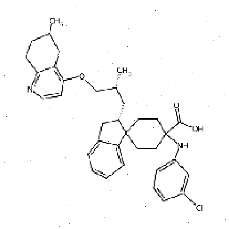 CC1CCc2nccc(OC[C@H](C)C[C@H]3Cc4ccccc4C34CCC(Nc3cccc(Cl)c3)(C(=O)O)CC4)c2C1